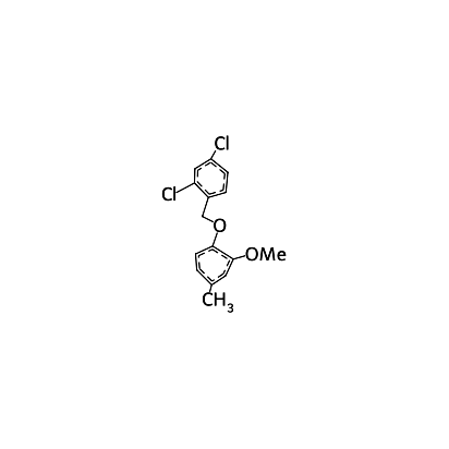 COc1cc(C)ccc1OCc1ccc(Cl)cc1Cl